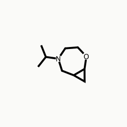 CC(C)N1CCOC2CC2C1